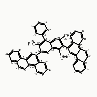 COc1c(-c2cc3c4ccccc4ccc3c3ccccc23)c(C(F)(F)F)cc2c(-c3ccccc3)c(C(F)(F)F)c(-c3cc4c5ccccc5ccc4c4ccccc34)cc12